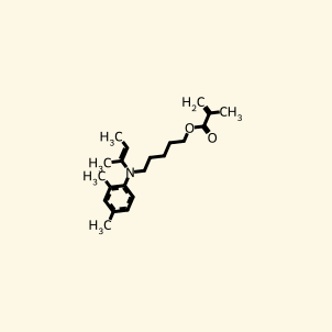 C=C(C)C(=O)OCCCCCN(/C(C)=C/C)c1ccc(C)cc1C